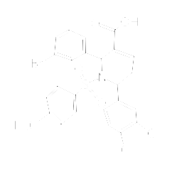 Cc1ccc(S(=O)(=O)N2C(c3ccc(Cl)c(Cl)c3)CC=C(C(=O)O)C2c2cccc(Br)c2)cc1